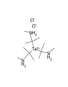 C[SiH2][C](C)(C)[Ta+2]([C](C)(C)[SiH2]C)[C](C)(C)[SiH2]C.[Cl-].[Cl-]